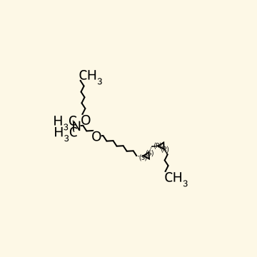 CCCCCCCCOC(CCOCCCCCCCC[C@H]1C[C@H]1C[C@H]1C[C@H]1CCCCC)N(C)C